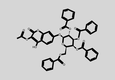 CC(=O)Oc1c(O)c2ccc(O[C@@H]3O[C@H](COC(=O)c4ccccc4)[C@H](OC(=O)c4ccccc4)[C@H](OC(=O)c4ccccc4)[C@H]3OC(=O)c3ccccc3)cc2oc1=O